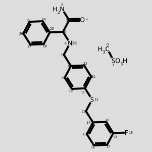 CS(=O)(=O)O.NC(=O)C(NCc1ccc(SCc2cccc(F)c2)cc1)c1ccccc1